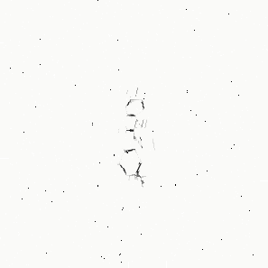 O=C(Nc1ccc(C(F)(F)F)cc1)Nc1cccc(F)c1